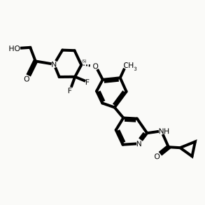 Cc1cc(-c2ccnc(NC(=O)C3CC3)c2)ccc1O[C@H]1CCN(C(=O)CO)CC1(F)F